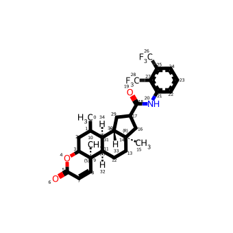 CC1CC2OC(=O)C=C[C@]2(C)[C@@H]2CC[C@]3(C)CC(C(=O)Nc4cccc(C(F)(F)F)c4C(F)(F)F)C[C@H]3[C@H]12